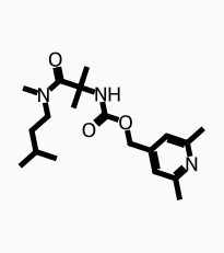 Cc1cc(COC(=O)NC(C)(C)C(=O)N(C)CCC(C)C)cc(C)n1